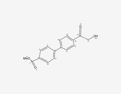 COC(=O)c1ccc(-c2ccc(C(=O)CO)cc2)cc1